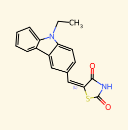 CCn1c2ccccc2c2cc(/C=C3/SC(=O)NC3=O)ccc21